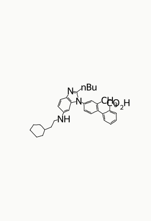 CCCCc1nc2ccc(NCCC3CCCCC3)cc2n1-c1ccc(-c2ccccc2C(=O)O)c(C)c1